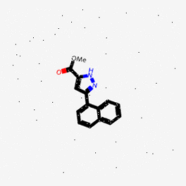 COC(=O)c1cc(-c2cccc3ccccc23)n[nH]1